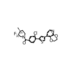 C[C@H]1CCN(C(=O)c2ccc(-c3cc(-c4ccnc5c4OCCO5)cs3)c(Cl)c2)C[C@@H]1F